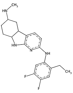 CCc1cc(F)c(F)cc1Nc1ccc2c(n1)NC1CCC(NC)CC21